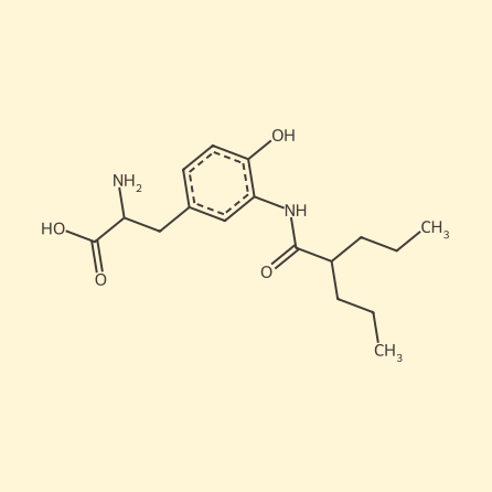 CCCC(CCC)C(=O)Nc1cc(CC(N)C(=O)O)ccc1O